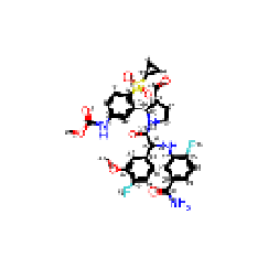 COC(=O)Nc1ccc(S(=O)(=O)C2CC2)c([C@H]2[C@@H](C=O)CCN2C(=O)[C@@H](Nc2cc(C(N)=O)ccc2F)c2ccc(F)c(OC)c2)c1